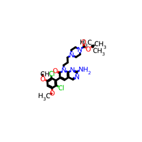 COc1cc(OC)c(Cl)c(-c2cc3cnc(N)nc3n(CCCN3CCN(C(=O)OC(C)(C)C)CC3)c2=O)c1Cl